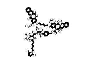 COc1cc2c(cc1OCCCCCOc1cc3c(cc1OC)C(O)N1Cc4ccccc4C[C@H]1C(O)N3C(=O)OCc1ccc(NC(=O)[C@H](C)NC(=O)[C@@H](NC(=O)CCCCCN3C(=O)C=CC3=O)C(C)C)cc1)NC[C@@H]1Cc3ccccc3CN1C2=O